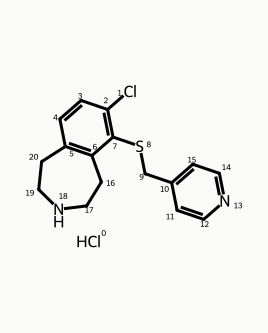 Cl.Clc1ccc2c(c1SCc1ccncc1)CCNCC2